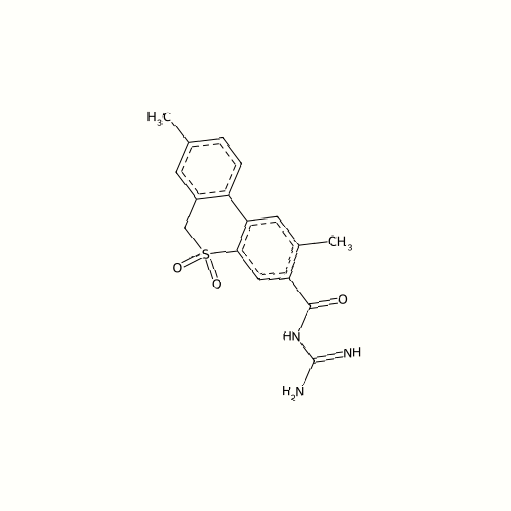 Cc1ccc2c(c1)CS(=O)(=O)c1cc(C(=O)NC(=N)N)c(C)cc1-2